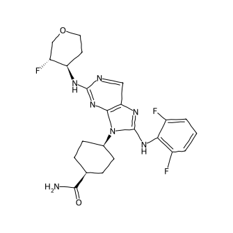 NC(=O)[C@H]1CC[C@@H](n2c(Nc3c(F)cccc3F)nc3cnc(N[C@@H]4CCOC[C@H]4F)nc32)CC1